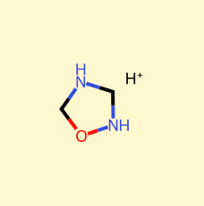 C1NCON1.[H+]